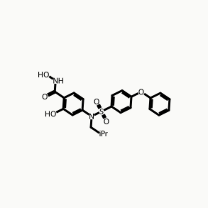 CC(C)CN(c1ccc(C(=O)NO)c(O)c1)S(=O)(=O)c1ccc(Oc2ccccc2)cc1